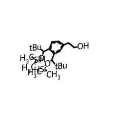 C[SiH](C)OC(c1ccc(CCO)cc1C(O[SiH](C)C)C(C)(C)C)C(C)(C)C